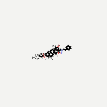 CC(C)C1=C2[C@H]3CC[C@@H]4[C@@]5(C)CC[C@H](OC(=O)CC(C)(C)C(=O)O)C(C)(C)[C@@H]5CC[C@@]4(C)[C@]3(C)CC[C@@]2([C@@H](O)CNCCc2ccccc2)CC1=O